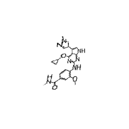 CNC(=O)c1ccc(Nc2nc(OC3CC3)c3c(-c4cnn(C)c4)c[nH]c3n2)c(OC)c1